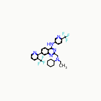 CCN(Cc1nc(Nc2ccc(C(F)(F)F)nc2)c2ccc(-c3ncccc3C(F)(F)F)cc2n1)C1CCCCC1